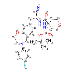 CC(C)(C)OC(=O)NC1(C(=O)N[C@H](C#N)Cc2ccc3c(c2)OCCN(c2ccc(F)cc2)C3)CCOCC1